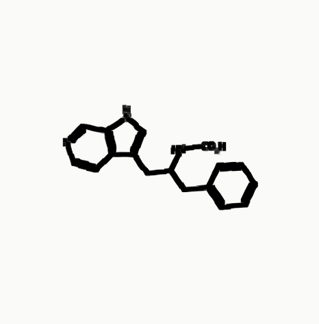 O=C(O)NC(Cc1ccccc1)Cc1c[nH]c2cnccc12